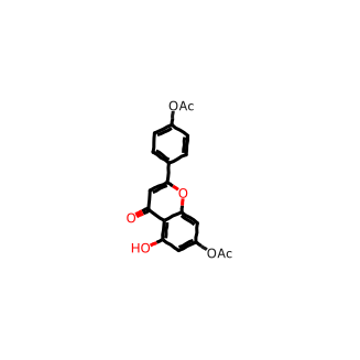 CC(=O)Oc1ccc(-c2cc(=O)c3c(O)cc(OC(C)=O)cc3o2)cc1